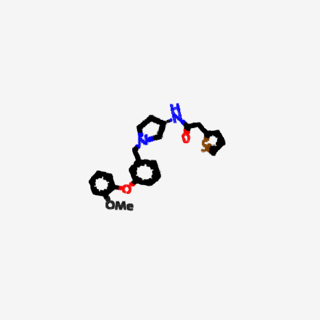 COc1ccccc1Oc1cccc(CN2CC[C@H](NC(=O)Cc3cccs3)C2)c1